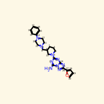 Nc1nc(N2CCCC(CN3CCN(c4ccccc4)CC3)C2)nc2nc(-c3ccco3)nn12